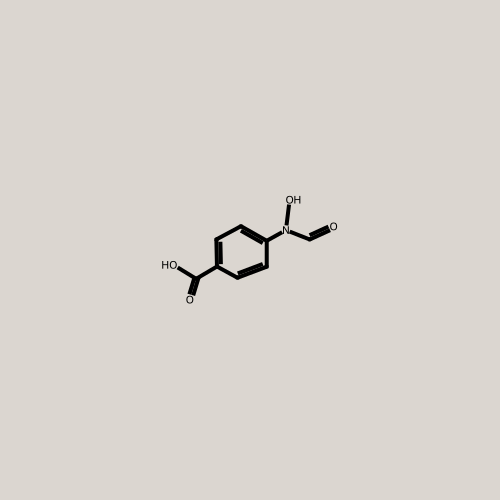 O=CN(O)c1ccc(C(=O)O)cc1